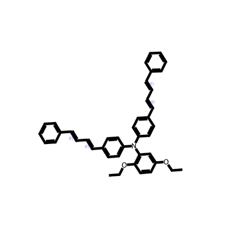 CCOc1ccc(OCC)c(N(c2ccc(/C=C/C=C/c3ccccc3)cc2)c2ccc(/C=C/C=C/c3ccccc3)cc2)c1